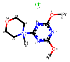 CC[N+]1(c2nc(OC(C)C)nc(OC(C)C)n2)CCOCC1.[Cl-]